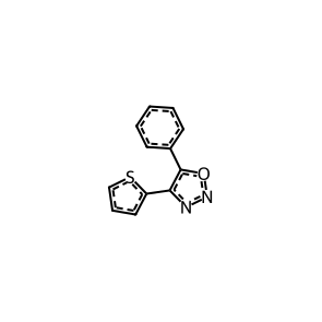 c1ccc(-c2onnc2-c2cccs2)cc1